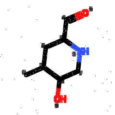 CC1CC(C=O)NCC1O